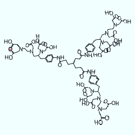 O=C(O)CN(CCN(CC(=O)O)CC(Cc1ccc(NC(=O)CCC(CCC(=O)Nc2ccc(CC(CN(CCN(CC(=O)O)CC(=O)O)CC(=O)O)N(CC(=O)O)CC(=O)O)cc2)CCC(=O)Nc2ccc(CC(CN(CCN(CC(=O)O)CC(=O)O)CC(=O)O)N(CC(=O)O)CC(=O)O)cc2)cc1)N(CC(=O)O)CC(=O)O)CC(=O)O